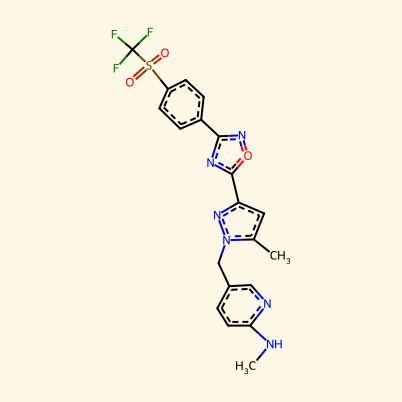 CNc1ccc(Cn2nc(-c3nc(-c4ccc(S(=O)(=O)C(F)(F)F)cc4)no3)cc2C)cn1